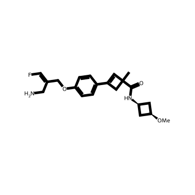 CO[C@H]1C[C@@H](NC(=O)C2(C)C=C(c3ccc(OC/C(=C/F)CN)cc3)C2)C1